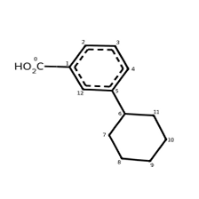 O=C(O)c1cccc(C2CCCCC2)c1